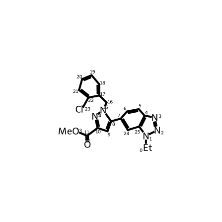 CCn1nnc2ccc(-c3cc(C(=O)OC)nn3Cc3ccccc3Cl)cc21